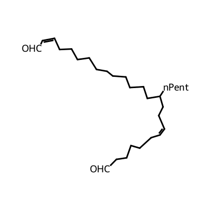 CCCCCC(CC/C=C\CCCCCC=O)CCCCCCCCCCC/C=C\C=O